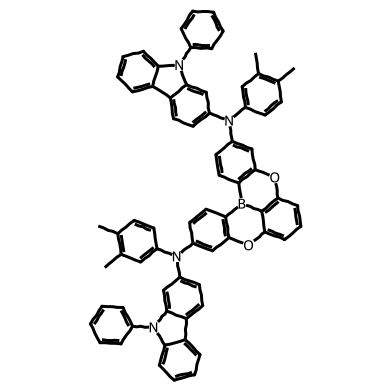 Cc1ccc(N(c2ccc3c(c2)Oc2cccc4c2B3c2ccc(N(c3ccc(C)c(C)c3)c3ccc5c6ccccc6n(-c6ccccc6)c5c3)cc2O4)c2ccc3c4ccccc4n(-c4ccccc4)c3c2)cc1C